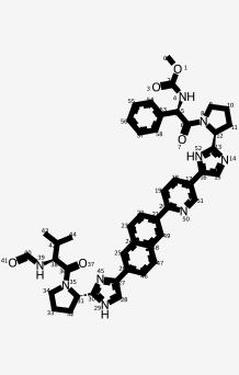 COC(=O)N[C@@H](C(=O)N1CCC[C@H]1c1ncc(-c2ccc(-c3ccc4cc(-c5c[nH]c([C@@H]6CCCN6C(=O)[C@@H](NC=O)C(C)C)n5)ccc4c3)nc2)[nH]1)c1ccccc1